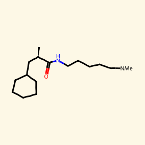 CNCCCCCNC(=O)[C@H](C)CC1CCCCC1